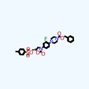 Cc1ccc(S(=O)(=O)OC[C@H]2CN(c3ccc(N4CCN(C(=O)OCc5ccccc5)CC4)c(F)c3)C(=O)O2)cc1